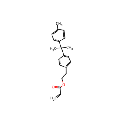 C=CC(=O)OCCc1ccc(C(C)(C)c2ccc(C)cc2)cc1